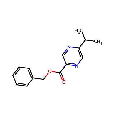 CC(C)c1cnc(C(=O)OCc2ccccc2)cn1